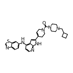 O=C(N1CC=C(c2cc3c(Nc4ccc5ncsc5c4)ccnc3[nH]2)CC1)N1CCN(CC2CCC2)CC1